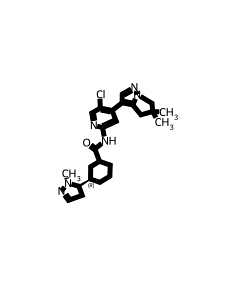 CN1N=CCC1[C@@H]1CCCC(C(=O)Nc2cc(-c3cnn4c3CC(C)(C)C4)c(Cl)cn2)C1